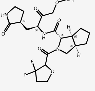 O=C1NCC[C@H]1C[C@H](NC(=O)[C@@H]1[C@H]2CCC[C@H]2CN1C(=O)C1OCCC1(F)F)C(=O)COC(F)(F)F